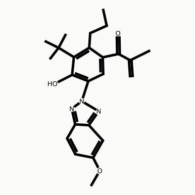 C=C(C)C(=O)c1cc(-n2nc3ccc(OC)cc3n2)c(O)c(C(C)(C)C)c1CCC